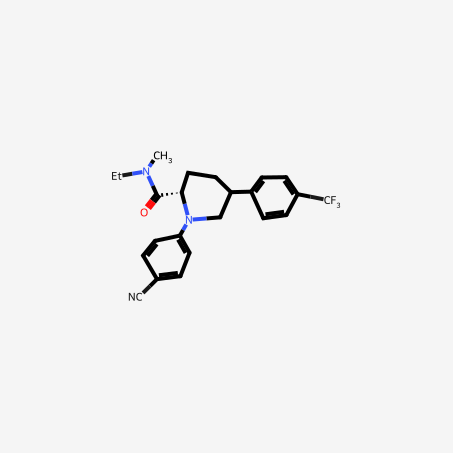 CCN(C)C(=O)[C@@H]1CCC(c2ccc(C(F)(F)F)cc2)CN1c1ccc(C#N)cc1